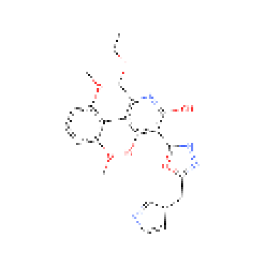 CCOCc1nc(O)c(-c2nnc(CC3C=CN=C3)o2)c(O)c1-c1c(OC)cccc1OC